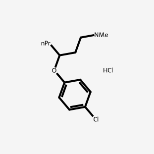 CCCC(CCNC)Oc1ccc(Cl)cc1.Cl